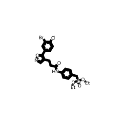 CCOP(=O)(Cc1ccc(NC(=O)CCc2cnoc2-c2ccc(Cl)c(Br)c2)cc1)OCC